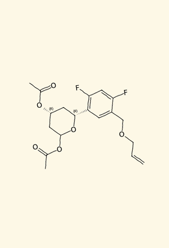 C=CCOCc1cc([C@H]2C[C@@H](OC(C)=O)CC(OC(C)=O)O2)c(F)cc1F